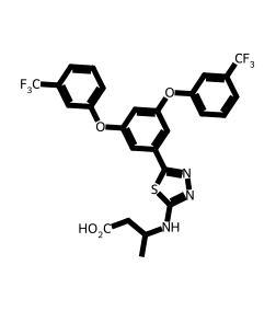 CC(CC(=O)O)Nc1nnc(-c2cc(Oc3cccc(C(F)(F)F)c3)cc(Oc3cccc(C(F)(F)F)c3)c2)s1